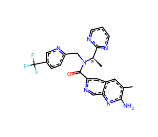 Cc1cc2cc(C(=O)N(Cc3ccc(C(F)(F)F)cn3)[C@H](C)c3ncccn3)ncc2nc1N